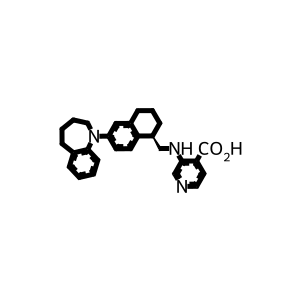 O=C(O)c1ccncc1NC[C@@H]1CCCc2cc(N3CCCCc4ccccc43)ccc21